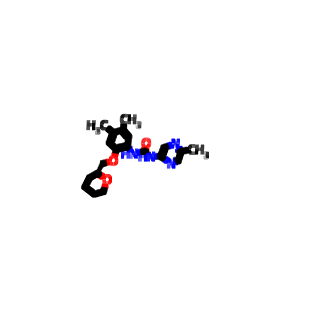 Cc1cnc(NC(=O)Nc2cc(C)c(C)cc2OC[C@@H]2CCCCO2)cn1